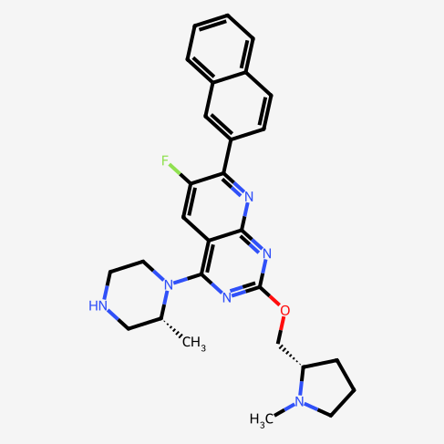 C[C@@H]1CNCCN1c1nc(OC[C@@H]2CCCN2C)nc2nc(-c3ccc4ccccc4c3)c(F)cc12